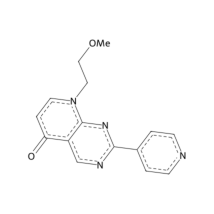 COCCn1ccc(=O)c2cnc(-c3ccncc3)nc21